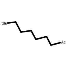 CC(=O)CCCCCCC(C)(C)C